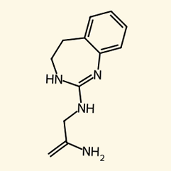 C=C(N)CNC1=Nc2ccccc2CCN1